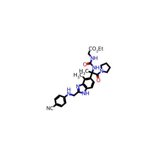 CCOC(=O)CNC(=O)NC(C)(C(=O)N1CCCC1)c1ccc2[nH]c(CNc3ccc(C#N)cc3)nc2c1C